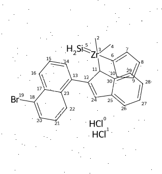 Cl.Cl.[CH3][Zr]([CH3])(=[SiH2])([C]1=CC=CC1)[CH]1C(c2cccc3c(Br)cccc23)=Cc2ccccc21